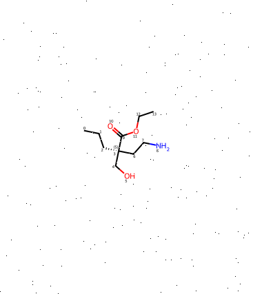 CCC[C@@](CO)(CCN)C(=O)OCC